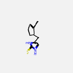 C=CC1=CCCC1Cc1c[nH]c(=S)[nH]1